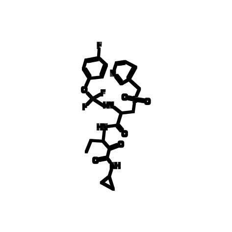 CCC(NC(=O)C(CS(=O)(=O)Cc1cccnc1)NCC(F)(F)Oc1ccc(F)cc1)C(=O)C(=O)NC1CC1